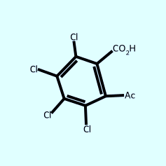 CC(=O)c1c(Cl)c(Cl)c(Cl)c(Cl)c1C(=O)O